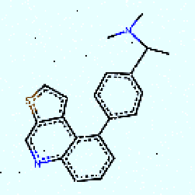 CC(c1ccc(-c2cccc3ncc4sccc4c23)cc1)N(C)C